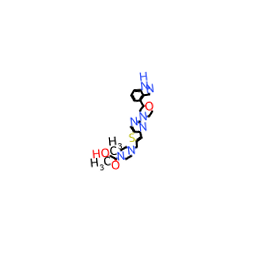 CC(C)(O)C(=O)N1CCN(Cc2cc3nc(N4CCOC(c5cccc6[nH]ncc56)C4)ncc3s2)CC1